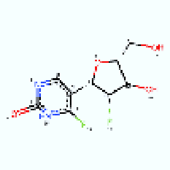 O=c1ncc([C@@H]2O[C@H](CO)C(O)[C@@H]2F)c(F)[nH]1